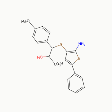 COc1ccc(C(Sc2cc(-c3ccccc3)sc2N)C(O)C(=O)O)cc1